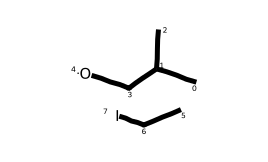 CC(C)C[O].CCI